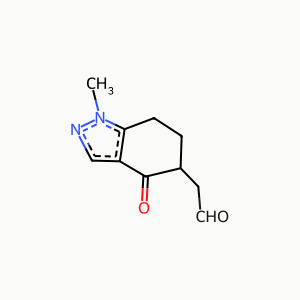 Cn1ncc2c1CCC(CC=O)C2=O